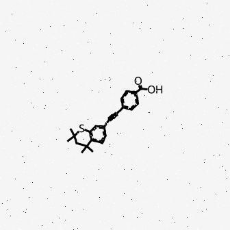 CC1(C)CC(C)(C)c2ccc(C#Cc3ccc(C(=O)O)cc3)cc2S1